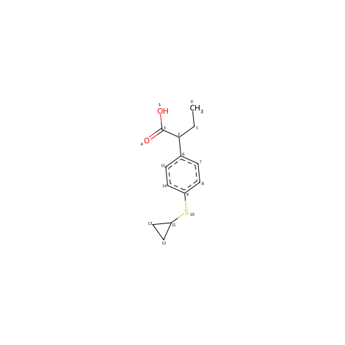 CCC(C(=O)O)c1ccc(SC2CC2)cc1